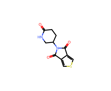 O=C1CCC(N2C(=O)c3cscc3C2=O)CN1